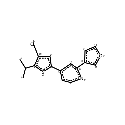 CC(C)c1sc(-c2ccnc(-c3ccoc3)c2)cc1Cl